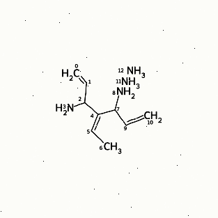 C=CC(N)C(=CC)C(N)C=C.N.N